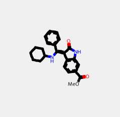 COC(=O)c1ccc2c(c1)NC(=O)C2=C(NC1CCCCC1)c1ccccc1